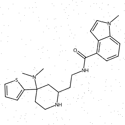 CN(C)C1(c2cccs2)CCNC(CCNC(=O)c2cccc3c2ccn3C)C1